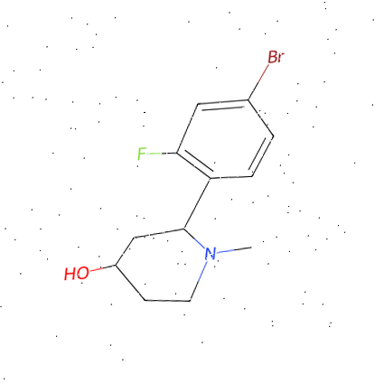 CN1CCC(O)CC1c1ccc(Br)cc1F